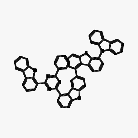 c1ccc(-c2nc(-c3cccc4c3oc3ccccc34)nc(-c3cccc4oc5ccc(-c6cccc7sc8c(-n9c%10ccccc%10c%10ccccc%109)cccc8c67)cc5c34)n2)cc1